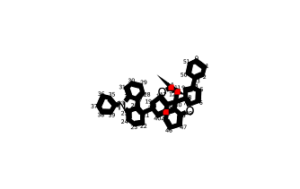 c1ccc(-c2ccc3c(c2)C2(c4ccccc4Oc4cc(-c5cccc6c5c5ccccc5n6-c5ccccc5)ccc42)c2ccccc2O3)cc1